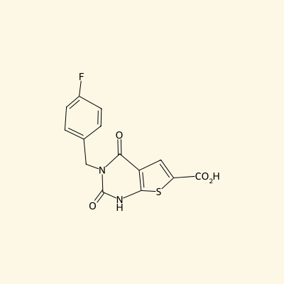 O=C(O)c1cc2c(=O)n(Cc3ccc(F)cc3)c(=O)[nH]c2s1